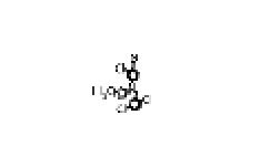 CN1CC[C@H](N(Cc2cc(Cl)ccc2Cl)c2ccc(C#N)c(Cl)c2)C1